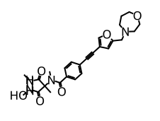 CNC(=O)C(C)(C(=O)NO)N(C)C(=O)c1ccc(C#Cc2coc(CN3CCCOCC3)c2)cc1